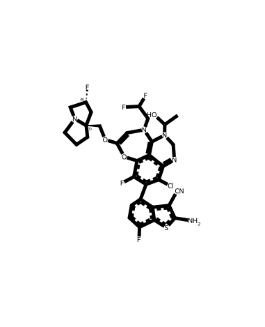 CC(O)N1CN=c2c(Cl)c(-c3ccc(F)c4sc(N)c(C#N)c34)c(F)c3c2=C1N(CC(F)F)C=C(OC[C@@]12CCCN1C[C@H](F)C2)O3